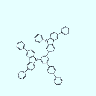 c1ccc(-c2ccc(-c3cc(-c4ccc5c6cc(-c7ccccc7)ccc6n(-c6ccccc6)c5c4)cc(-n4c5ccc(-c6ccccc6)cc5c5cc(-c6ccccc6)ccc54)c3)cc2)cc1